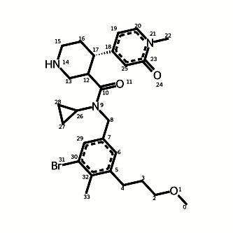 COCCCc1cc(CN(C(=O)C2CNCC[C@@H]2c2ccn(C)c(=O)c2)C2CC2)cc(Br)c1C